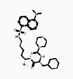 CN(C)c1cccc2c(S(=O)(=O)NCCCC[C@@H](N)NC(=O)[C@H](CC3CCCCC3)NC(=O)N3CCOCC3)cccc12